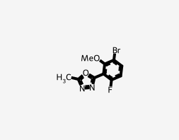 COc1c(Br)ccc(F)c1-c1nnc(C)o1